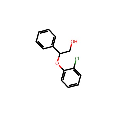 OCC(Oc1ccccc1Cl)c1ccccc1